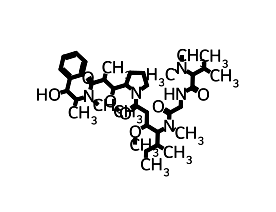 CCC(C)C(C(CC(=O)N1CCCC1C(OC)C(C)C(=O)N(C)C(C)C(O)c1ccccc1)OC)N(C)C(=O)CNC(=O)C(C(C)C)N(C)C